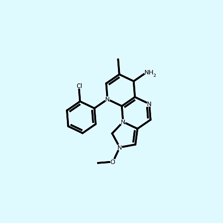 CON1C=C2C=NC3=C(N2C1)N(c1ccccc1Cl)C=C(C)C3N